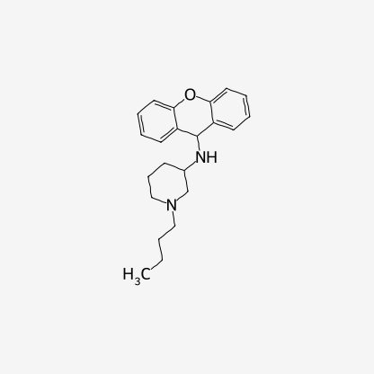 CCCCN1CCCC(NC2c3ccccc3Oc3ccccc32)C1